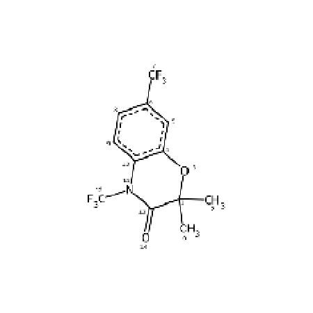 CC1(C)Oc2cc(C(F)(F)F)ccc2N(C(F)(F)F)C1=O